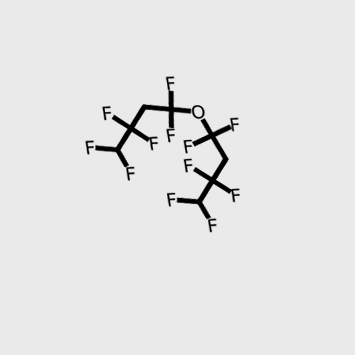 FC(F)C(F)(F)CC(F)(F)OC(F)(F)CC(F)(F)C(F)F